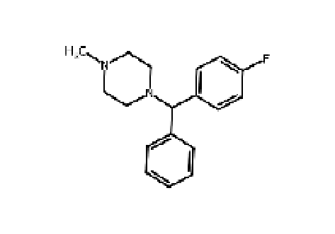 CN1CCN(C(c2ccccc2)c2ccc(F)cc2)CC1